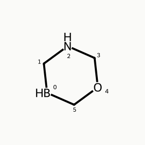 B1CNCOC1